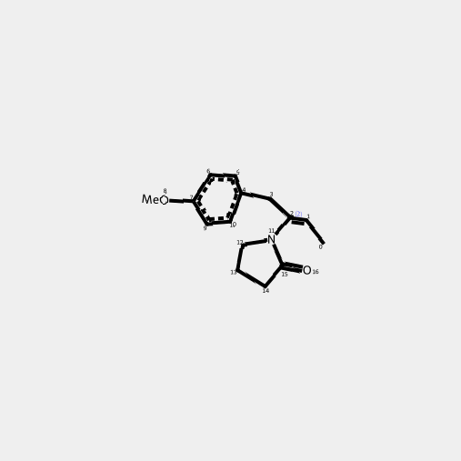 C/C=C(/Cc1ccc(OC)cc1)N1CCCC1=O